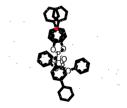 c1ccc(OP(Oc2ccccc2)O[PH](Oc2ccc(C3CCCCC3)cc2)(Oc2ccc(C3CCCCC3)cc2)Oc2ccc(C3CCCCC3)cc2)cc1